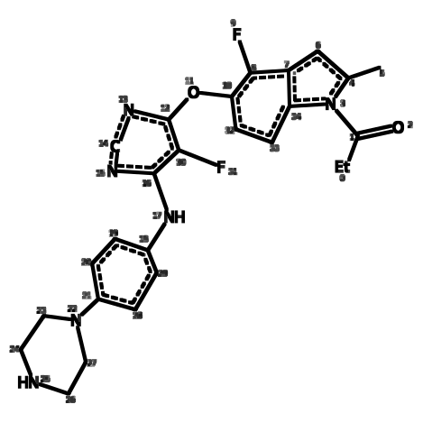 CCC(=O)n1c(C)cc2c(F)c(Oc3ncnc(Nc4ccc(N5CCNCC5)cc4)c3F)ccc21